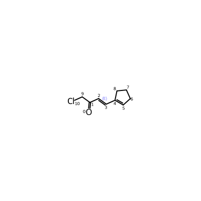 O=C(/C=C/C1=CCCC1)CCl